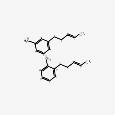 CC=CCCc1cccc(C)c1.CC=CCCc1ccccc1C